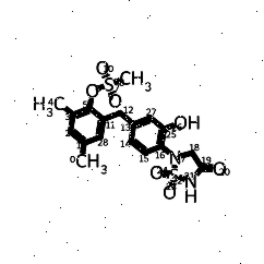 Cc1cc(C)c(OS(C)(=O)=O)c(Cc2ccc(N3CC(=O)NS3(=O)=O)c(O)c2)c1